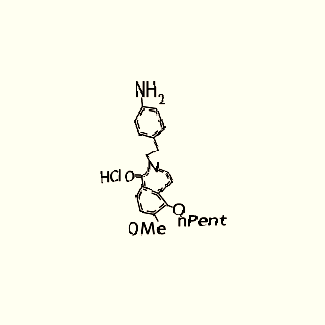 CCCCCOc1c(OC)ccc2c(=O)n(CCc3ccc(N)cc3)ccc12.Cl